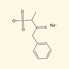 CC(C(=S)Cc1ccccc1)S(=O)(=O)[O-].[Na+]